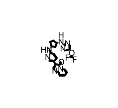 O=c1c(-c2ccc(N[C@H]3CC[C@H](Nc4ncc(OC(F)F)cn4)C3)nc2)cnc2ccccn12